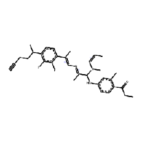 C#CCCC(C)c1ccc(/C(C)=C/N=C(\C)C(Nc2ccc(C(=O)CC)c(C)c2)N(C)/C=C\C)c(F)c1F